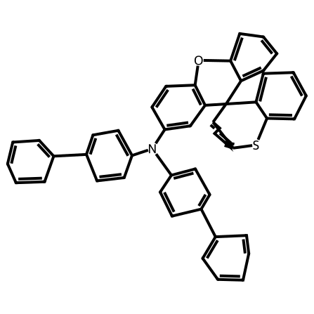 c1ccc(-c2ccc(N(c3ccc(-c4ccccc4)cc3)c3ccc4c(c3)C3(c5ccccc5O4)c4ccccc4Sc4ccccc43)cc2)cc1